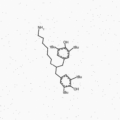 CC(C)(C)c1cc(CC(CCCCCCCN)Cc2cc(C(C)(C)C)c(O)c(C(C)(C)C)c2)cc(C(C)(C)C)c1O